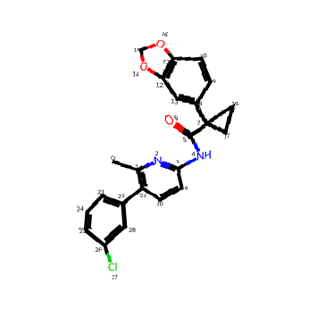 Cc1nc(NC(=O)C2(c3ccc4c(c3)OCO4)CC2)ccc1-c1cccc(Cl)c1